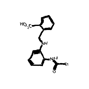 CCC(=O)Nc1ccccc1NCc1ccccc1C(=O)O